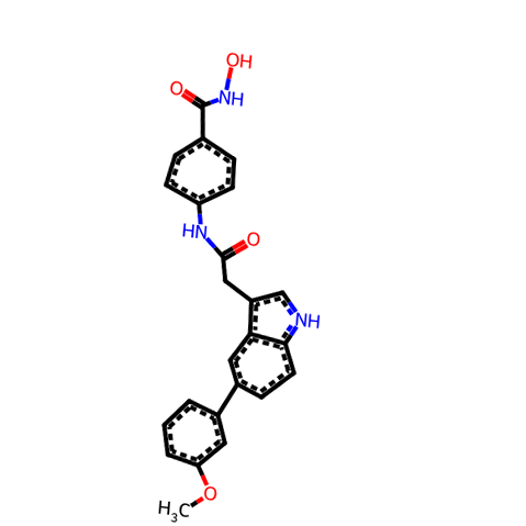 COc1cccc(-c2ccc3[nH]cc(CC(=O)Nc4ccc(C(=O)NO)cc4)c3c2)c1